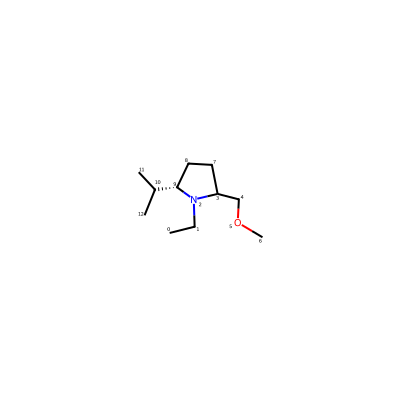 CCN1C(COC)CC[C@H]1C(C)C